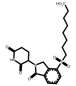 O=C(O)CCCCCCCS(=O)(=O)c1cccc2c1CN(C1CCC(=O)NC1=O)C2=O